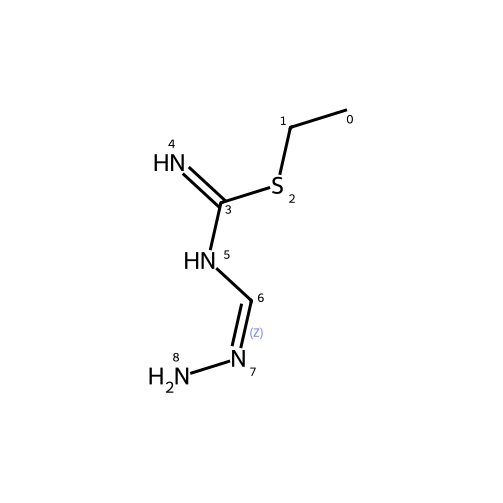 CCSC(=N)N/C=N\N